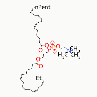 CC/C=C\C/C=C\C/C=C\C/C=C\CCCCC(=O)OC[C@H](COP(=O)([O-])OCC[N+](C)(C)C)OC(=O)CCCC/C=C\C/C=C\C/C=C\CCCCC